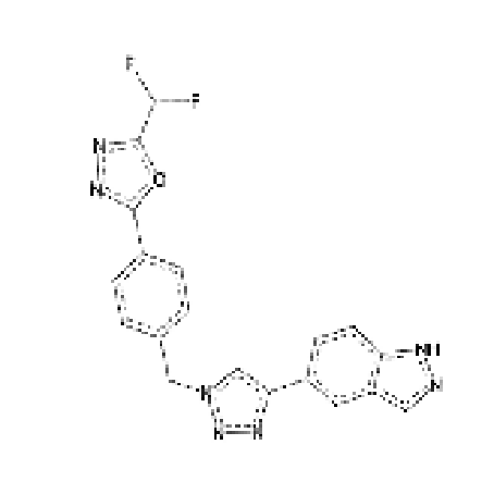 FC(F)c1nnc(-c2ccc(Cn3cc(-c4ccc5[nH]ncc5c4)nn3)cc2)o1